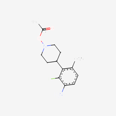 COc1ccc(N)c(F)c1C1CCN(OC(=O)C(C)(C)C)CC1